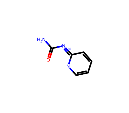 NC(=O)/N=C1/C=CC=C[N]1